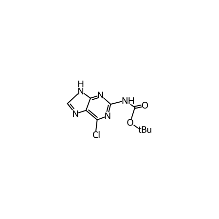 CC(C)(C)OC(=O)Nc1nc(Cl)c2nc[nH]c2n1